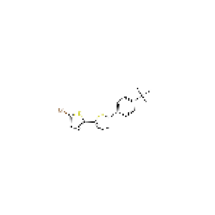 CC(C)(C)c1ccc(-c2ccc(-c3ccc(Br)s3)s2)cc1